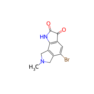 CN1Cc2c(Br)cc3c(c2C1)NC(=O)C3=O